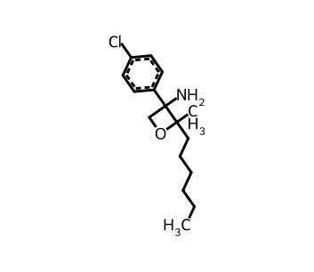 CCCCCCC1(C)OCC1(N)c1ccc(Cl)cc1